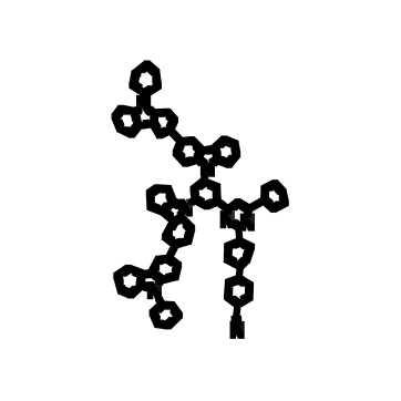 N#Cc1ccc(-c2ccc(-c3nc(-c4ccccc4)cc(-c4cc(-n5c6ccccc6c6cc(-c7ccc8c(c7)c7ccccc7n8-c7ccccc7)ccc65)cc(-n5c6ccccc6c6cc(-c7ccc8c(c7)c7ccccc7n8-c7ccccc7)ccc65)c4)n3)cc2)cc1